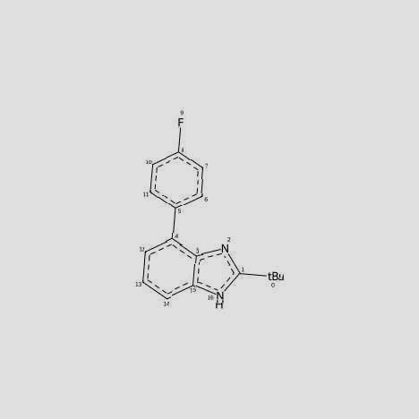 CC(C)(C)c1nc2c(-c3ccc(F)cc3)cccc2[nH]1